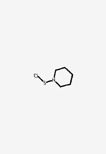 ClSN1CCCCC1